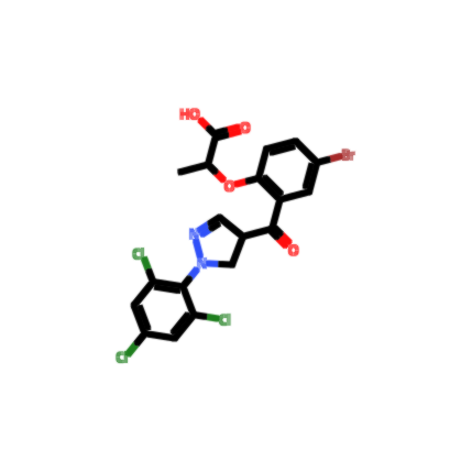 CC(Oc1ccc(Br)cc1C(=O)C1C=NN(c2c(Cl)cc(Cl)cc2Cl)C1)C(=O)O